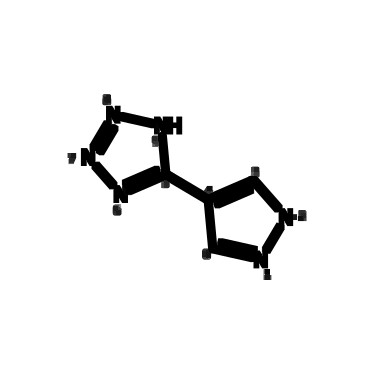 C1=N[N]C=C1c1nnn[nH]1